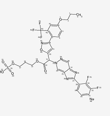 CCCOc1ccc(-c2cc(C(C(=O)OCCCOS(=O)(=O)O)n3cc4nc(-c5cccc(F)c5F)nc-4cn3)on2)c(C(F)(F)F)c1.[Na]